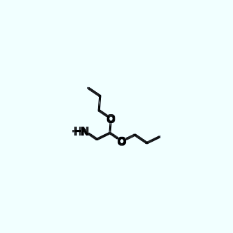 CCCOC(C[NH])OCCC